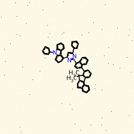 CC1(C)c2ccc3ccccc3c2-c2cccc(-c3ccc(-c4nc(-c5ccccc5)cc(-c5cccc6c5c5ccccc5n6-c5ccccc5)n4)c4ccccc34)c21